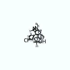 CCn1nc(C)c2c(-c3ccc(Cl)cc3)c(C(OC(C)(C)C)C(=O)O)c(C)nc21